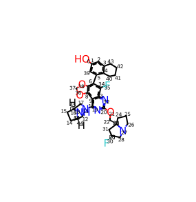 Oc1cc2c(c(-c3c4c(c5c(N6C[C@H]7CC[C@@H](C6)N7)nc(OC[C@@]67CCCN6C[C@H](F)C7)nc5c3F)OCO4)c1)CCCC2